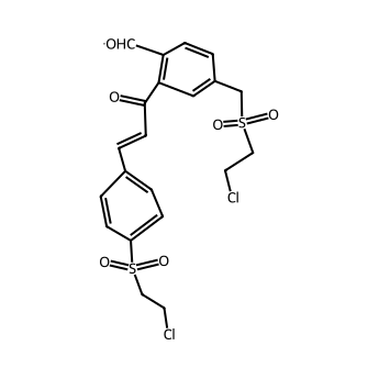 O=[C]c1ccc(CS(=O)(=O)CCCl)cc1C(=O)C=Cc1ccc(S(=O)(=O)CCCl)cc1